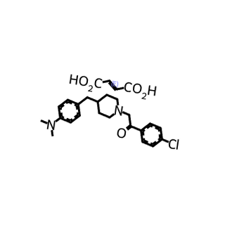 CN(C)c1ccc(CC2CCN(CC(=O)c3ccc(Cl)cc3)CC2)cc1.O=C(O)/C=C/C(=O)O